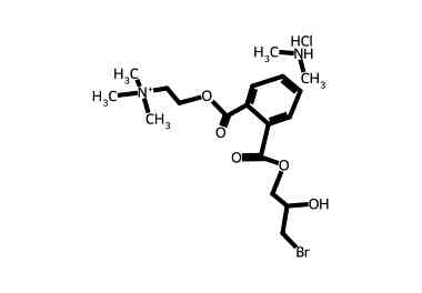 CNC.C[N+](C)(C)CCOC(=O)c1ccccc1C(=O)OCC(O)CBr.Cl